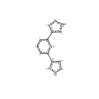 c1cc(-c2nc[nH]n2)nc(-c2nc[nH]n2)c1